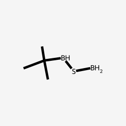 BSBC(C)(C)C